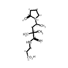 CC(CC(C)(C)C(=N)NCCC(=O)O)N1CCCC1=O